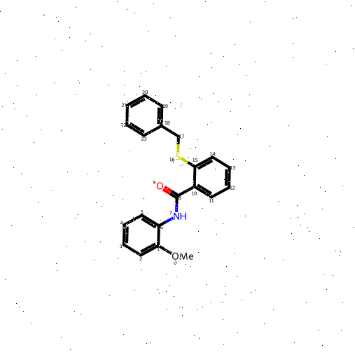 COc1ccccc1NC(=O)c1ccccc1SCc1ccccc1